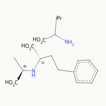 CC(C)C(N)C(=O)O.C[C@@H](N[C@@H](CCc1ccccc1)C(=O)O)C(=O)O